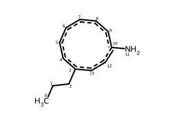 CCCc1ccccccc(N)cc1